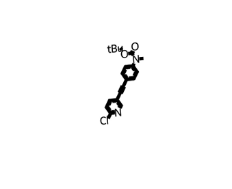 CN(C(=O)OC(C)(C)C)c1ccc(C#Cc2ccc(Cl)nc2)cc1